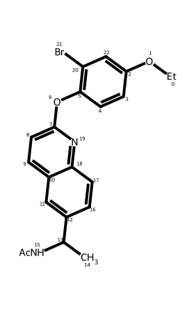 CCOc1ccc(Oc2ccc3cc(C(C)NC(C)=O)ccc3n2)c(Br)c1